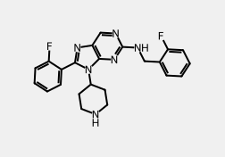 Fc1ccccc1CNc1ncc2nc(-c3ccccc3F)n(C3CCNCC3)c2n1